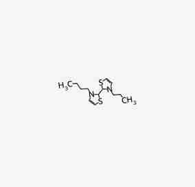 CCCCN1C=CSC1C1SC=CN1CCC